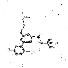 CN(C)CCCc1cc(C(=O)NC(=N)N)cc(-c2cc(Cl)ccc2Cl)c1.Cl.Cl